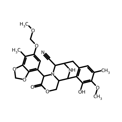 COCOc1cc(C2C(=O)OCC3C4NC(Cc5cc(C)c(OC)c(O)c54)C(C#N)N23)c2c(c1C)OCO2